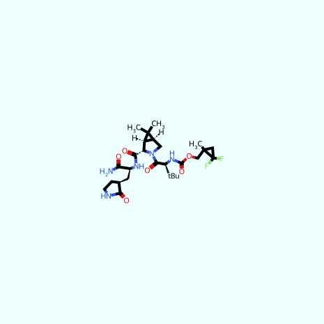 CC(C)(C)[C@H](NC(=O)OCC1(C)CC1(F)F)C(=O)N1C[C@H]2[C@@H]([C@H]1C(=O)N[C@@H](C[C@@H]1CCNC1=O)C(N)=O)C2(C)C